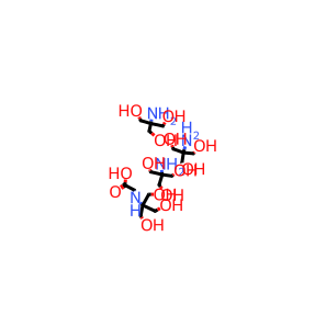 NC(CO)(CO)CO.NC(CO)(CO)CO.NC(CO)(CO)CO.O=C(O)CNC(CO)(CO)CO